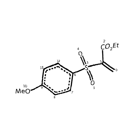 C=C(C(=O)OCC)S(=O)(=O)c1ccc(OC)cc1